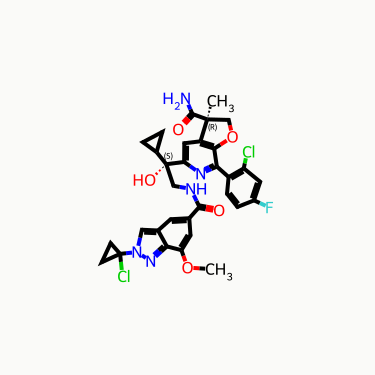 COc1cc(C(=O)NC[C@](O)(c2cc3c(c(-c4ccc(F)cc4Cl)n2)OC[C@]3(C)C(N)=O)C2CC2)cc2cn(C3(Cl)CC3)nc12